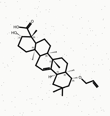 C=CCO[C@@H]1CC(C)(C)C[C@H]2C3=CCC4[C@@]5(C)CC[C@H](O)[C@](C)(C(=O)O)C5CC[C@@]4(C)[C@]3(C)CC[C@@]12C